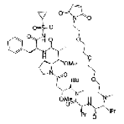 CC[C@H](C)[C@@H]([C@@H](CC(=O)N1CCC[C@H]1[C@H](OC)[C@@H](C)C(=O)N[C@@H](Cc1ccccc1)C(=O)NS(=O)(=O)C1CC1)OC)N(C)C(=O)[C@@H](NC(=O)C(C(C)C)N(C)CCOCCOCCOCCN1C(=O)C=CC1=O)C(C)C